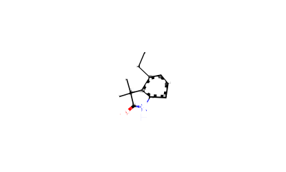 CCc1cccc2c1C(C)(C)C(=O)N2